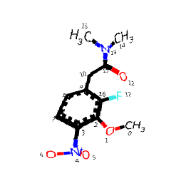 COc1c([N+](=O)[O-])ccc(CC(=O)N(C)C)c1F